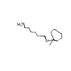 CC1(OCCCCCCN)CCCCC1